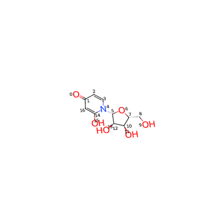 O=c1ccn([C@@H]2O[C@H](CO)[C@@H](O)[C@H]2O)c(O)c1